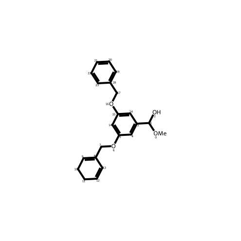 COC(O)c1cc(OCC2=CCCC=C2)cc(OCc2ccccc2)c1